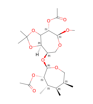 CO[C@H]1OC[C@@H](O[C@H]2OC[C@@H](C)[C@@H](C)[C@H](C)[C@@H]2OC(C)=O)[C@H]2OC(C)(C)OC2[C@@H]1OC(C)=O